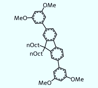 CCCCCCCCC1(CCCCCCCC)c2cc(-c3cc(OC)cc(OC)c3)ccc2-c2ccc(-c3cc(OC)cc(OC)c3)cc21